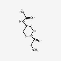 CCC(=O)N1CCC(NC(=O)O)CC1